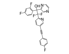 OC(c1cnccn1)(c1ccc(F)cc1F)C(F)(F)c1ccc(C#Cc2ccc(F)cc2)cn1